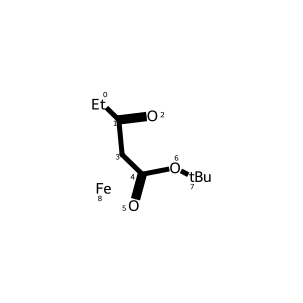 CCC(=O)CC(=O)OC(C)(C)C.[Fe]